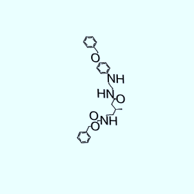 C[C@@H](CCNC(=O)OCc1ccccc1)CC(=O)NCCNc1ccc(OCc2ccccc2)cc1